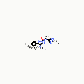 CCOC(=O)N(C)[C@@H]1CN(C(=O)NC(C)c2cnc(C(F)(F)F)nc2)N=C1c1ccc(C)cc1